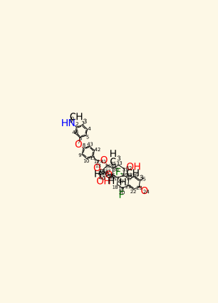 CNc1cccc(Oc2ccc(C3O[C@@H]4C[C@H]5[C@@H]6C[C@H](F)C7=CC(=O)C=C[C@]7(C)[C@@]6(F)[C@@H](O)C[C@]5(C)[C@]4(C(=O)CO)O3)cc2)c1